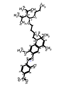 CCCOP(OCCCCN1c2cc(OC)c(/N=N/c3ccc([N+](=O)[O-])cc3Cl)cc2C(C)=CC1(C)C)N(C(C)C)C(C)C